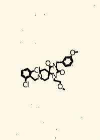 COCCN1C(=O)N(Cc2cccc(OC)c2)C(=O)C12CCN(Cc1c(Cl)cccc1Cl)CC2